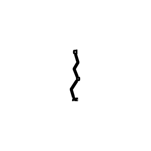 CC(=O)COCCCl